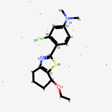 CCOC1CCCc2nc(-c3ccc(N(C)C)cc3F)sc21